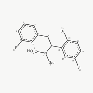 CC(C)(C)N(C(=O)O)C(Cc1cccc(F)c1)c1nc(Br)ccc1Br